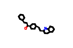 O=C(C=Cc1ccccc1)c1ccc(C=Cc2ccc3ccccc3n2)cc1